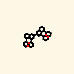 c1ccc(-c2cccc3cc(-c4cc(-c5ccccc5)c5c(-c6ccccc6)cccc5c4)cc(-c4ccccc4)c23)cc1